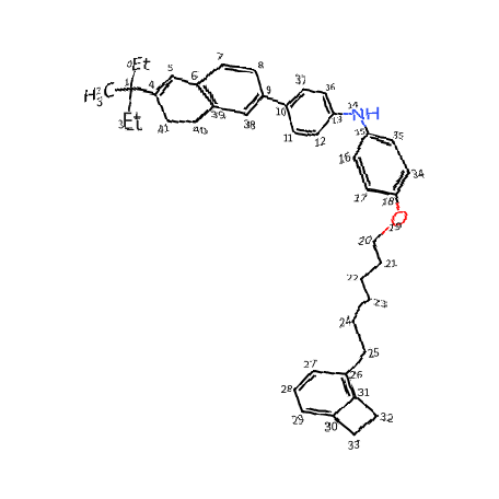 CCC(C)(CC)C1=Cc2ccc(-c3ccc(Nc4ccc(OCCCCCCc5cccc6c5CC6)cc4)cc3)cc2CC1